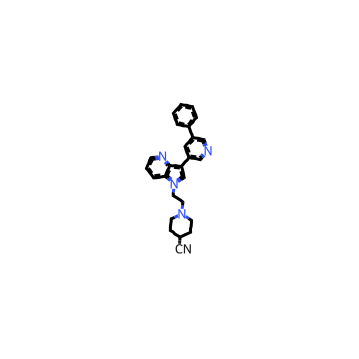 N#CC1CCN(CCn2cc(-c3cncc(-c4ccccc4)c3)c3ncccc32)CC1